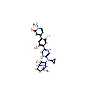 Cn1ccc(-c2cc(O)c(-c3cnc(N(C4CC4)C4C[C@H]5CC[C@H](N5)C4F)cn3)cc2F)cc1=O